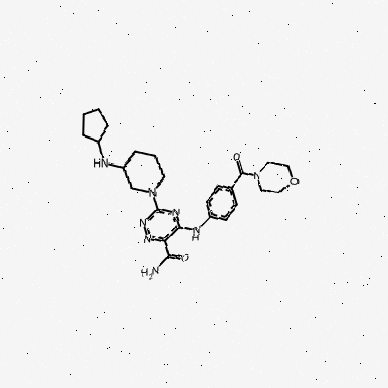 NC(=O)c1nnc(N2CCCC(NC3CCCC3)C2)nc1Nc1ccc(C(=O)N2CCOCC2)cc1